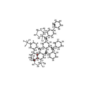 CC(C)(C)c1ccc(N2c3cc4c(cc3B3c5ccccc5N(c5ccccc5)c5cc(N6c7ccc(-c8ccccn8)cc7C7(C)CCCCC67C)cc2c53)C(C)(C)CCC4(C)C)c(-c2ccccc2)c1